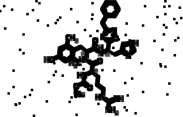 Cc1cc(O)cc(C)c1C[C@H](NC(=O)[C@@H](CCCNC(=N)N)NC(=O)OC(C)(C)C)C(=O)N[C@@H](Cc1c[nH]cn1)c1nc(Cc2ccccc2)no1